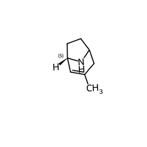 CC1=C[C@@H]2CCC(C1)N2